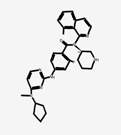 Cc1cccc2ccnc(N(C(=O)c3ccc(Nc4nccc(N(C)C5CCCC5)n4)cc3F)[C@@H]3CCCNC3)c12